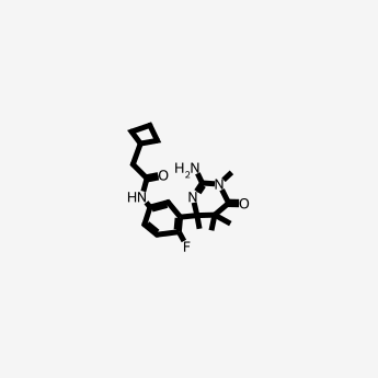 CN1C(=O)C(C)(C)C(C)(c2cc(NC(=O)CC3CCC3)ccc2F)N=C1N